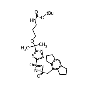 CC(C)(C)OC(=O)NCCCOC(C)(C)c1ncc(S(N)(=O)=NC(=O)Cc2c3c(cc4c2CCC4)CCC3)s1